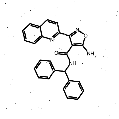 Nc1onc(-c2ccc3ccccc3n2)c1C(=O)NC(c1ccccc1)c1ccccc1